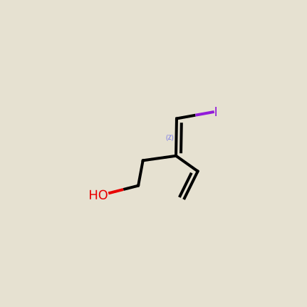 C=C/C(=C\I)CCO